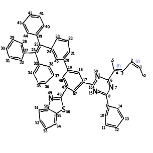 C/C=C\C=C(/C)c1nc(-c2ccccc2)nc(-c2cc(-c3cccc(C(=C(c4ccccc4)c4ccccc4)c4ccccc4)c3)cc(-c3nc4ccccc4s3)c2)n1